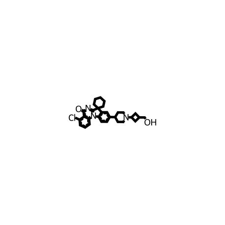 O=c1nc2n(c3cccc(Cl)c13)-c1ccc(C3CCN(C4CC(CO)C4)CC3)cc1C21CCCCC1